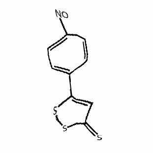 O=Nc1ccc(-c2cc(=S)ss2)cc1